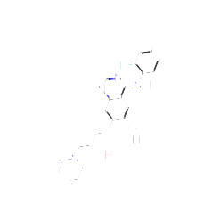 COc1cc2c(Nc3ccc(Cl)cc3F)ncnc2cc1OCC(O)CN1CCOCC1